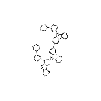 c1ccc(-c2cccc(-c3cc(-n4c5ccccc5c5cc(-c6ccc7c(c6)c6ccccc6n7-c6cccc(-c7ccccc7)c6)ccc54)cc4c3sc3ccccc34)c2)cc1